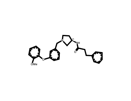 COc1ccccc1Oc1cccc(CN2CC[C@@H](NC(=O)CCc3ccccc3)C2)c1